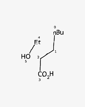 CCCCCCC(=O)O.CCO